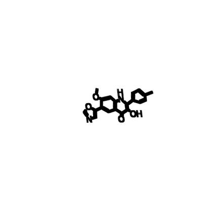 COc1cc2[nH]c(-c3ccc(C)cc3)c(O)c(=O)c2cc1-c1cnco1